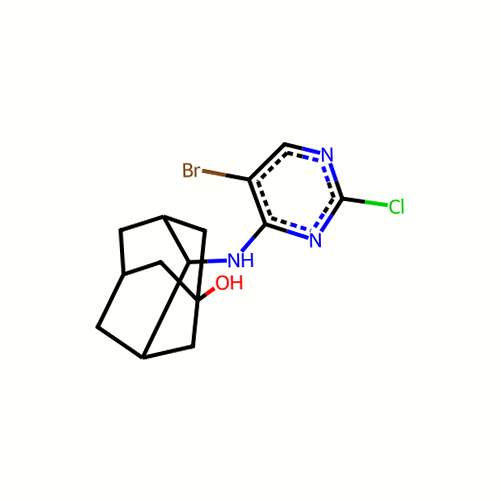 OC12CC3CC(C1)C(Nc1nc(Cl)ncc1Br)C(C3)C2